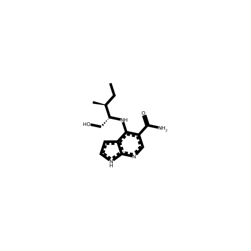 CC[C@H](C)[C@@H](CO)Nc1c(C(N)=O)cnc2[nH]ccc12